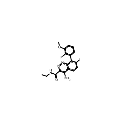 CCNC(=O)c1nnc2c(-c3cccc(OC)c3F)c(F)ccc2c1N